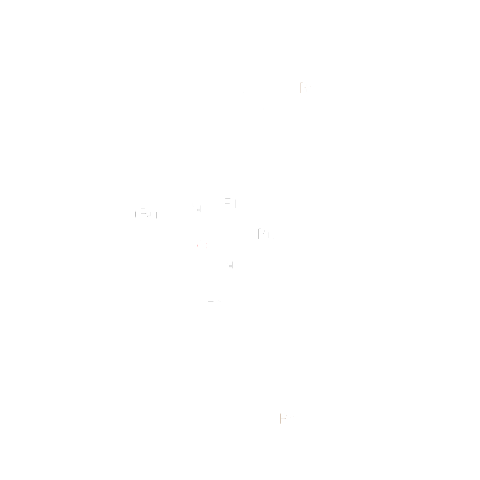 CC[Si](O[Si](CC)(C(C)c1ccc(Br)c(F)c1)C(C)(C)C)(C(C)c1ccc(Br)c(F)c1)C(C)(C)C